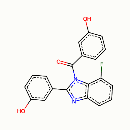 O=C(c1cccc(O)c1)n1c(-c2cccc(O)c2)nc2cccc(F)c21